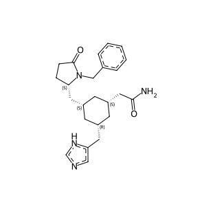 NC(=O)C[C@@H]1C[C@H](Cc2cnc[nH]2)C[C@H](C[C@@H]2CCC(=O)N2Cc2ccccc2)C1